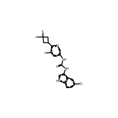 O=C(Nc1cnc(C2CC(F)(F)C2)c(F)c1)Nc1c[nH]c2ccc(Cl)cc12